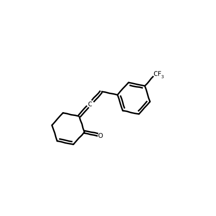 O=C1C=CCCC1=C=Cc1cccc(C(F)(F)F)c1